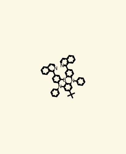 CC(C)(C)c1cc2c3c(c1)N(c1ccccc1)c1ccc(-c4nccc5ccccc45)cc1B3c1cc(-c3nccc4ccccc34)ccc1N2c1ccccc1